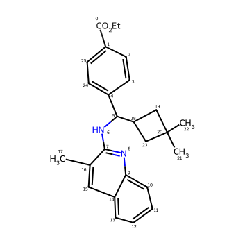 CCOC(=O)c1ccc(C(Nc2nc3ccccc3cc2C)C2CC(C)(C)C2)cc1